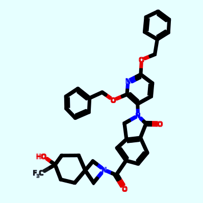 O=C(c1ccc2c(c1)CN(c1ccc(OCc3ccccc3)nc1OCc1ccccc1)C2=O)N1CC2(CCC(O)(C(F)(F)F)CC2)C1